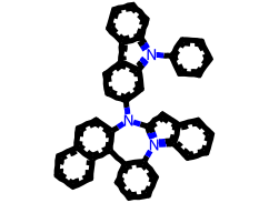 c1ccc(-n2c3ccccc3c3ccc(N4c5ccc6ccccc6c5-c5ccccc5-n5c4cc4ccccc45)cc32)cc1